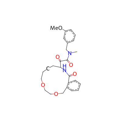 COc1cccc(CN(C)C(=O)C(=O)C2CCCCOCCOCc3ccccc3C(=O)N2)c1